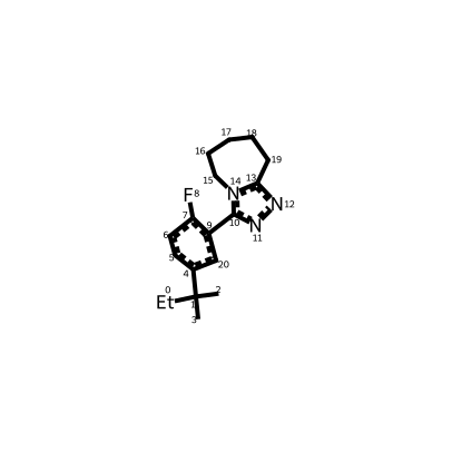 CCC(C)(C)c1ccc(F)c(-c2nnc3n2CCCCC3)c1